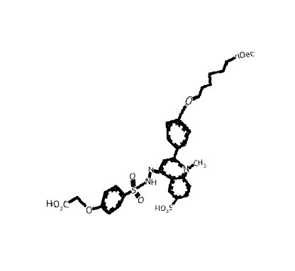 CCCCCCCCCCCCCCCCOc1ccc(-c2c/c(=N/NS(=O)(=O)c3ccc(OCC(=O)O)cc3)c3cc(S(=O)(=O)O)ccc3n2C)cc1